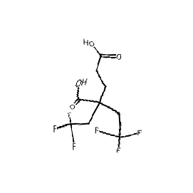 O=C(O)CCC(CC(F)(F)F)(CC(F)(F)F)C(=O)O